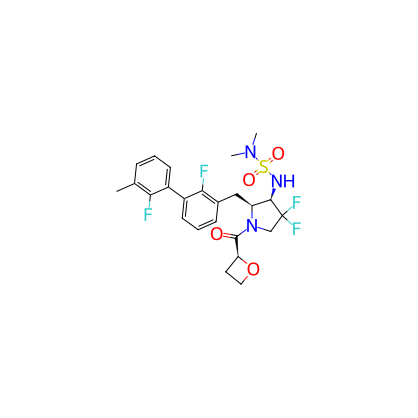 Cc1cccc(-c2cccc(C[C@H]3[C@@H](NS(=O)(=O)N(C)C)C(F)(F)CN3C(=O)[C@@H]3CCO3)c2F)c1F